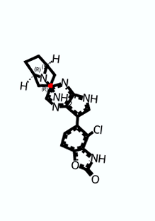 N[C@H]1C[C@H]2CC[C@@H](C1)N2c1cnc2c(-c3ccc4oc(=O)[nH]c4c3Cl)c[nH]c2n1